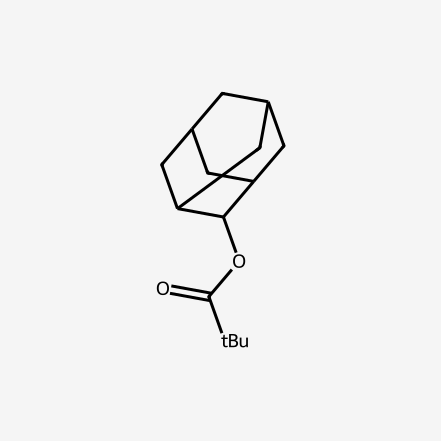 CC(C)(C)C(=O)OC1C2CC3CC(C2)CC1C3